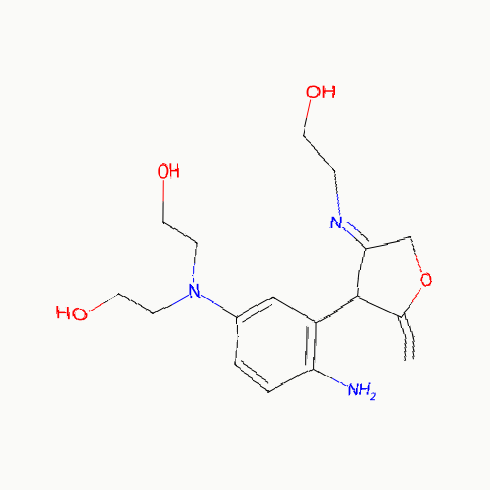 C=C1OCC(=NCCO)C1c1cc(N(CCO)CCO)ccc1N